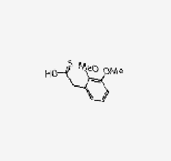 COc1cccc(CC(O)=S)c1OC